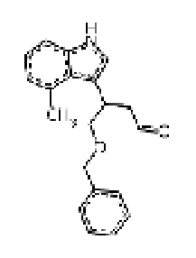 Cc1cccc2[nH]cc([C@@H](CC=O)COCc3ccccc3)c12